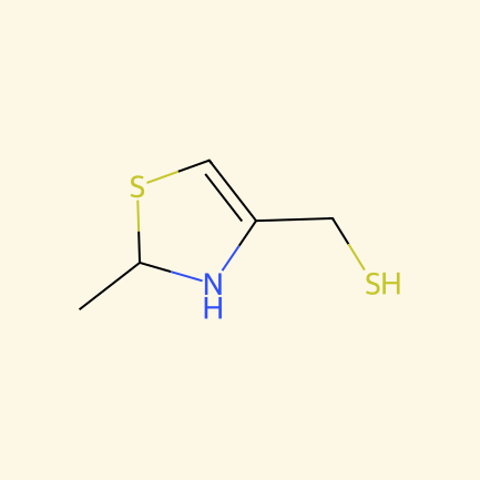 CC1NC(CS)=CS1